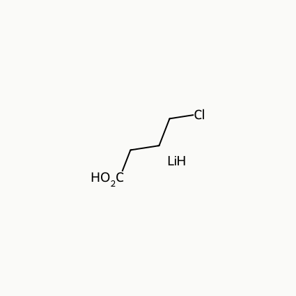 O=C(O)CCCCl.[LiH]